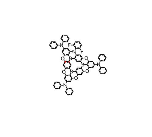 Fc1cccc(F)c1N1c2cc3c(cc2B2c4ccccc4Oc4cc(N(c5ccccc5)c5ccccc5)cc1c42)B1c2cc4c(cc2Oc2cc(N(c5ccccc5)c5ccccc5)cc(c21)O3)Oc1cc(N(c2ccccc2)c2ccccc2)cc2c1B4c1ccccc1O2